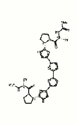 COC(=O)N[C@@H](C(=O)N1CCC[C@H]1c1nc(-c2ccc(-c3ccc(-c4c[nH]c([C@@H]5CCCN5C(=O)[C@H](NC(=O)O)C(C)C)n4)s3)s2)c[nH]1)C(C)C